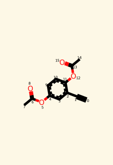 C#Cc1cc(OC(C)=O)ccc1OC(C)=O